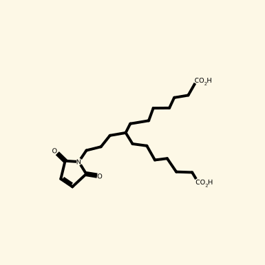 O=C(O)CCCCCCC(CCCCCCC(=O)O)CCCN1C(=O)C=CC1=O